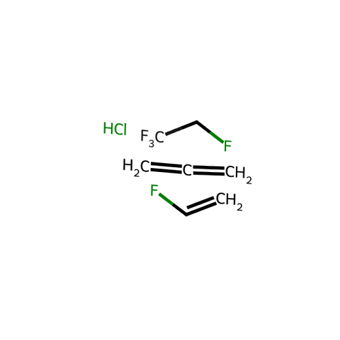 C=C=C.C=CF.Cl.FCC(F)(F)F